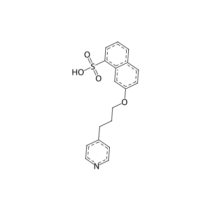 O=S(=O)(O)c1cccc2ccc(OCCCc3ccncc3)cc12